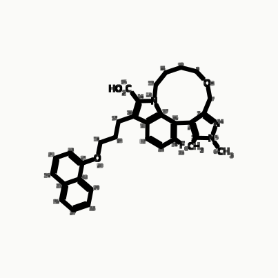 Cc1c2c(nn1C)COCCCCn1c(C(=O)O)c(CCCOc3cccc4ccccc34)c3ccc(F)c-2c31